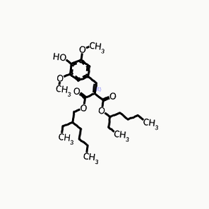 CCCCC(CC)COC(=O)/C(=C\c1cc(OC)c(O)c(OC)c1)C(=O)OC(CC)CCCC